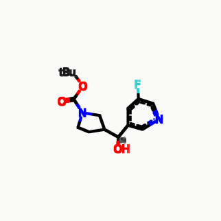 CC(C)(C)OC(=O)N1CCC([C@H](O)c2cncc(F)c2)C1